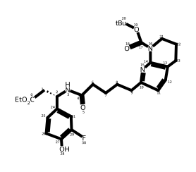 CCOC(=O)C[C@H](NC(=O)CCCCc1ccc2c(n1)N(C(=O)OC(C)(C)C)CCC2)c1ccc(O)c(F)c1